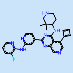 CC1(C)CNCCC1Nc1nc(-c2ccnc(Nc3ncccc3F)c2)nc2cncc(C3=CC=C3)c12